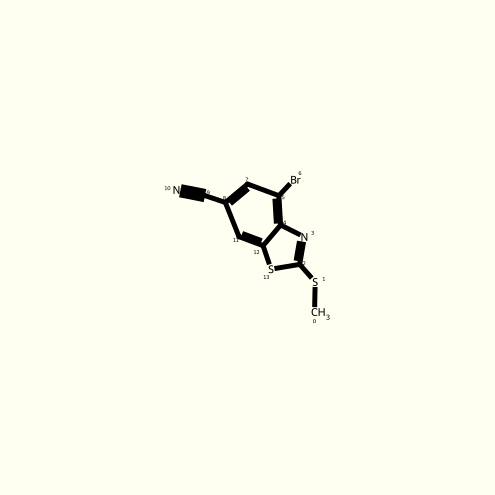 CSc1nc2c(Br)cc(C#N)cc2s1